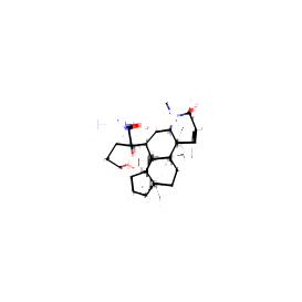 CN1C(=O)C=C[C@@]2(C)C1CC(C1(C(N)=O)CCCO1)[C@@H]1[C@H]2CC[C@]2(C)CCC[C@@H]12